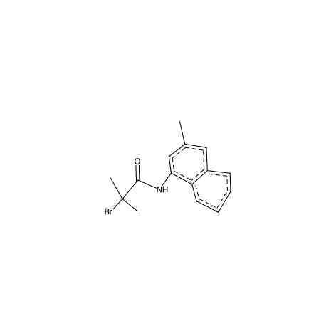 Cc1cc(NC(=O)C(C)(C)Br)c2ccccc2c1